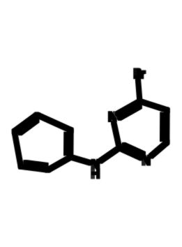 Brc1ccnc(Nc2ccccc2)n1